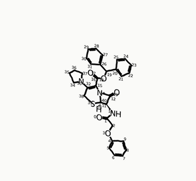 O=C(COc1ccccc1)N[C@@H]1C(=O)N2C(C(=O)OC(c3ccccc3)c3ccccc3)=C(N3CCCC3)CS[C@H]12